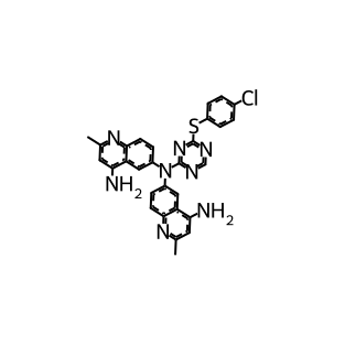 Cc1cc(N)c2cc(N(c3ccc4nc(C)cc(N)c4c3)c3ncnc(Sc4ccc(Cl)cc4)n3)ccc2n1